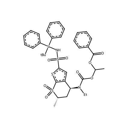 CCN(C(=O)OC(C)OC(=O)c1ccccc1)[C@H]1C[C@H](C)S(=O)(=O)c2sc(S(=O)(=O)N[Si](c3ccccc3)(c3ccccc3)C(C)(C)C)cc21